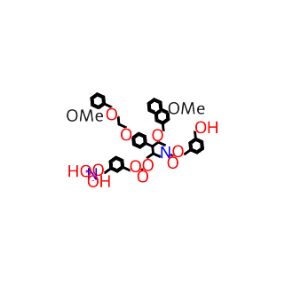 COc1ccccc1COCCCOc1ccc(C2C(COC(=O)OCc3cccc(CON(O)O)c3)CN(C(=O)OCc3cccc(CO)c3)CC2OCc2cc(OC)c3ccccc3c2)cc1